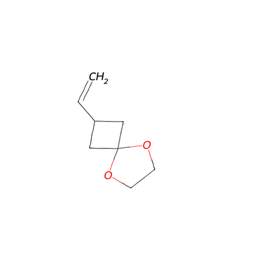 C=CC1CC2(C1)OCCO2